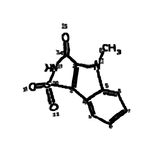 Cn1c2c(c3ccccc31)S(=O)(=O)NC2=O